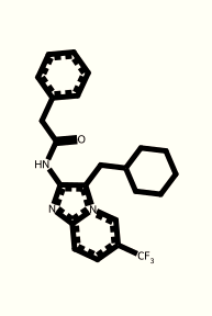 O=C(Cc1ccccc1)Nc1nc2ccc(C(F)(F)F)cn2c1CC1CCCCC1